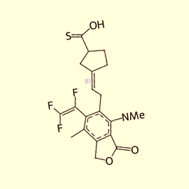 CNc1c(C/C=C2\CCC(C(O)=S)C2)c(C(F)=C(F)F)c(C)c2c1C(=O)OC2